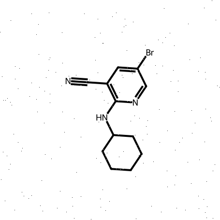 N#Cc1cc(Br)cnc1NC1CCCCC1